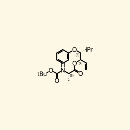 C=C[C@@H](OC(=O)[C@H](C)NC(=O)OC(C)(C)C)[C@H](Oc1ccccc1)C(C)C